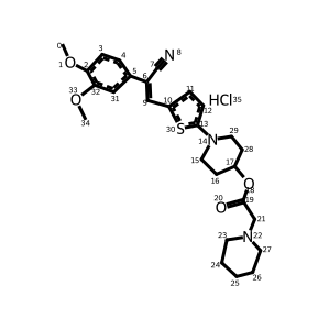 COc1ccc(C(C#N)=Cc2ccc(N3CCC(OC(=O)CN4CCCCC4)CC3)s2)cc1OC.Cl